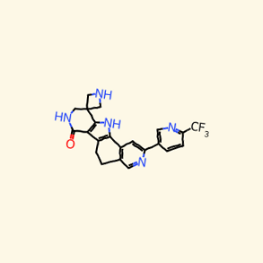 O=C1NCC2(CNC2)c2[nH]c3c(c21)CCc1cnc(-c2ccc(C(F)(F)F)nc2)cc1-3